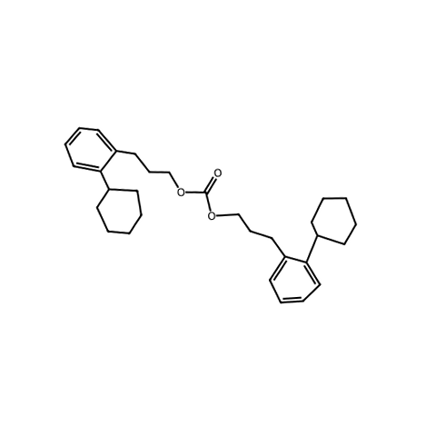 O=C(OCCCc1ccccc1C1CCCCC1)OCCCc1ccccc1C1CCCCC1